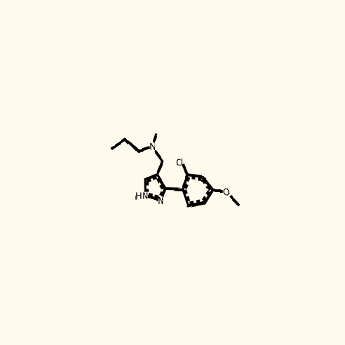 CCCN(C)Cc1c[nH]nc1-c1ccc(OC)cc1Cl